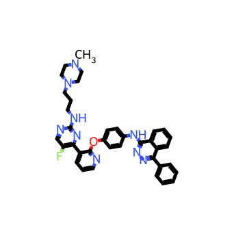 CN1CCN(CCCNc2ncc(F)c(-c3cccnc3Oc3ccc(Nc4nnc(-c5ccccc5)c5ccccc45)cc3)n2)CC1